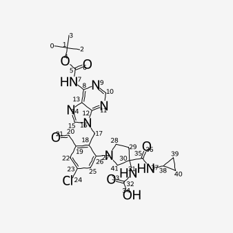 CC(C)(C)OC(=O)Nc1ncnc2c1ncn2Cc1c(C=O)cc(Cl)cc1N1CCC(NC(=O)O)(C(=O)NC2CC2)C1